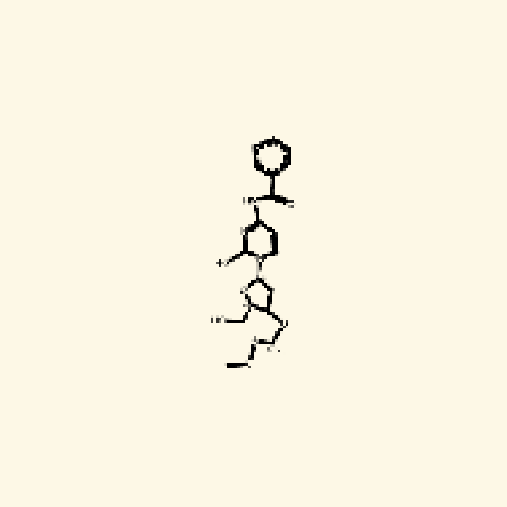 CSS[C@@H](C)OC1C[C@H](N2C=CC(NC(=O)c3ccccc3)=NC2O)O[C@@H]1CO